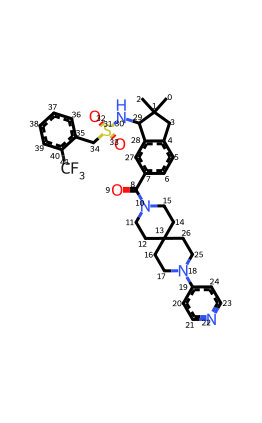 CC1(C)Cc2ccc(C(=O)N3CCC4(CC3)CCN(c3ccncc3)CC4)cc2C1NS(=O)(=O)Cc1ccccc1C(F)(F)F